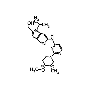 CO[C@@H]1CCN(c2nccc(Nc3cc4c(cn3)nc(CO)n4C(C)C)n2)C[C@@H]1C